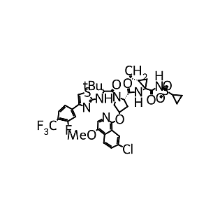 C=C[C@@H]1C[C@]1(NC(=O)[C@@H]1C[C@@H](Oc2ncc(OC)c3ccc(Cl)cc23)CN1C(=O)[C@@H](Nc1nc(-c2ccc(C(F)(F)F)c(F)c2)cs1)C(C)(C)C)C(=O)NS(=O)(=O)C1CC1